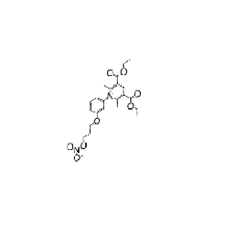 CCOC(=O)C1=C(C)N(c2cccc(OCCCO[N+](=O)[O-])c2)C(C)=C(C(=O)OCC)C1